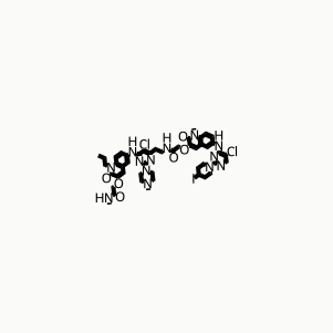 CCCn1c(=O)c(OCC(=O)NC)cc2cc(Nc3nc(N4CCN(C)CC4)nc(CCNC(=O)COc4cc5cc(Nc6nc(N7CCC(I)CC7)ncc6Cl)ccc5n(C)c4=O)c3Cl)ccc21